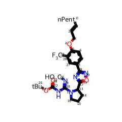 CCCCC/C=C/COc1ccc(-c2noc(C3CCCN3C(=NC(=O)O)NC(=O)OC(C)(C)C)n2)cc1C(F)(F)F